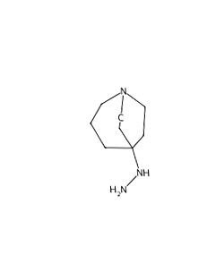 NNC12CCCN(CC1)CC2